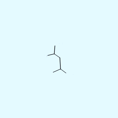 CCCCCCCCC(CCCC)CC(C)CCCCC